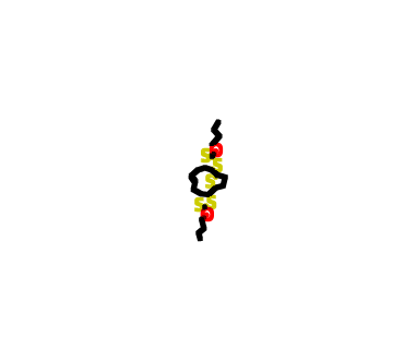 CCCCOC(=S)SC1CC/C=C/CCC(SC(=S)OCCCC)C2CCC1S2